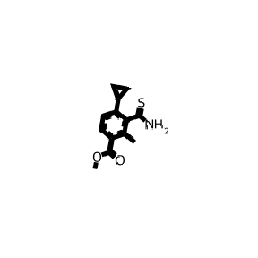 COC(=O)c1ccc(C2CC2)c(C(N)=S)c1C